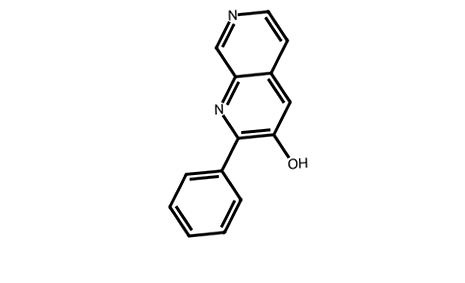 Oc1cc2ccncc2nc1-c1ccccc1